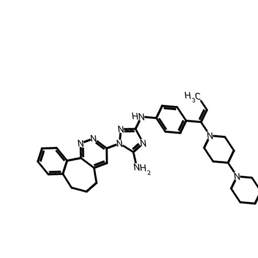 C/C=C(\c1ccc(Nc2nc(N)n(-c3cc4c(nn3)-c3ccccc3CCC4)n2)cc1)N1CCC(N2CCCCC2)CC1